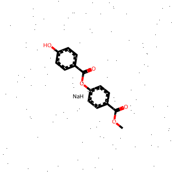 COC(=O)c1ccc(OC(=O)c2ccc(O)cc2)cc1.[NaH]